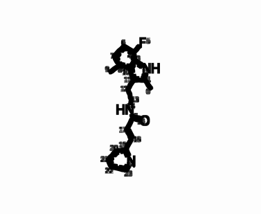 Cc1[nH]c2c(F)ccc(C)c2c1CCNC(=O)C=Cc1ccccn1